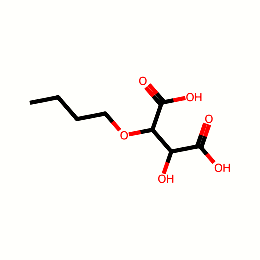 CCCCOC(C(=O)O)C(O)C(=O)O